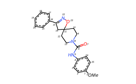 COc1ccc(NC(=O)N2CCC3(CC2)CC(c2ccccc2)=NO3)cc1